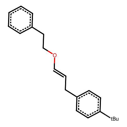 CC(C)(C)c1ccc(CC=COCCc2ccccc2)cc1